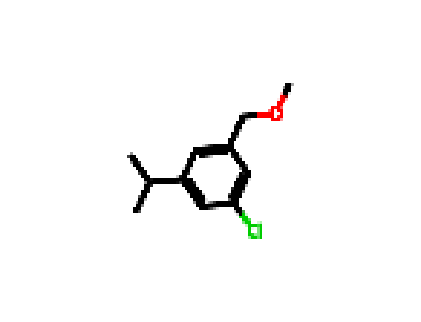 COCc1cc(Cl)cc(C(C)C)c1